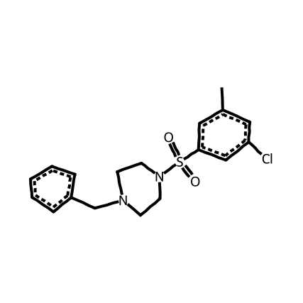 Cc1cc(Cl)cc(S(=O)(=O)N2CCN(Cc3ccccc3)CC2)c1